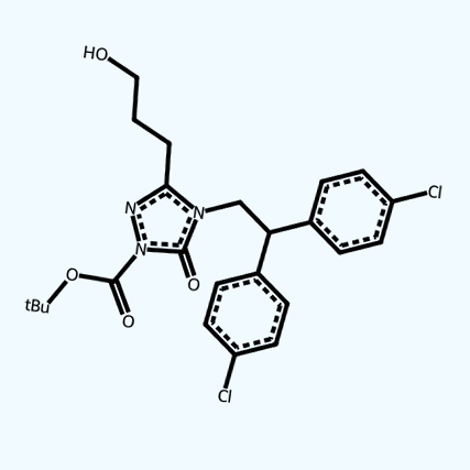 CC(C)(C)OC(=O)n1nc(CCCO)n(CC(c2ccc(Cl)cc2)c2ccc(Cl)cc2)c1=O